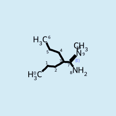 CCCC(CCC)/C(N)=N\C